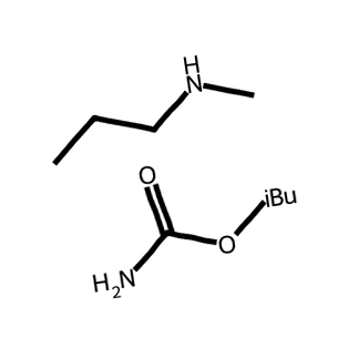 CCC(C)OC(N)=O.CCCNC